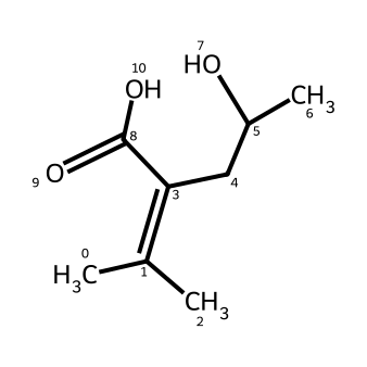 CC(C)=C(CC(C)O)C(=O)O